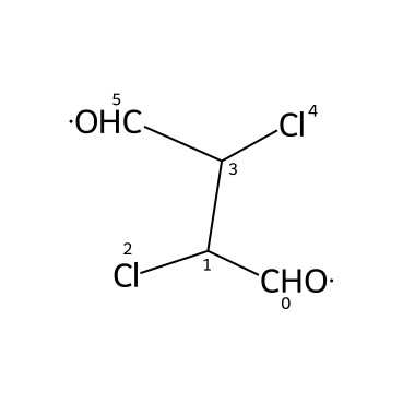 O=[C]C(Cl)C(Cl)[C]=O